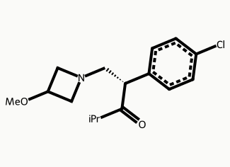 COC1CN(C[C@@H](C(=O)C(C)C)c2ccc(Cl)cc2)C1